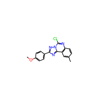 COc1ccc(-c2nc3c4cc(C)ccc4nc(Cl)n3n2)cc1